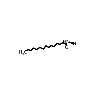 CCCCCCCCCCCCCCC(=O)NC#N